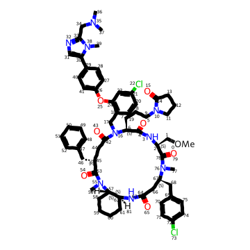 COC[C@@H]1NC(=O)[C@H](CCCN2CCCC2=O)N(Cc2ccc(Cl)cc2Oc2ccc(-c3cnc(CN(C)C)n3C)cc2)C(=O)C[C@@H](Cc2ccccc2)C(=O)N(C)[C@H]2CCCC[C@@H]2NC(=O)C[C@H](Cc2ccc(Cl)cc2)N(C)C1=O